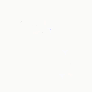 COc1cc(F)cc([C@@](O)(C(=O)N2CCC(CC3CCN(c4ccc(C(=O)N(C)C)cc4)CC3)CC2)C(F)(F)F)c1